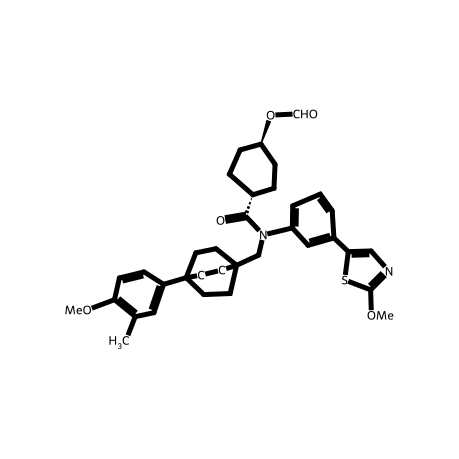 COc1ncc(-c2cccc(N(CC34CCC(c5ccc(OC)c(C)c5)(CC3)CC4)C(=O)[C@H]3CC[C@H](OC=O)CC3)c2)s1